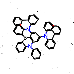 c1ccc(-c2ccccc2N(c2ccccc2)c2cc3c4c(c2)N(c2ccccc2-c2ccccc2)c2ccccc2B4c2ccccc2N3c2ccccc2)cc1